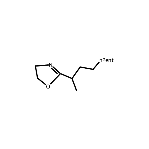 CCCCCCCC(C)C1=NCCO1